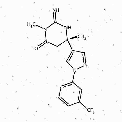 CN1C(=N)N[C@](C)(c2cnn(-c3cccc(C(F)(F)F)c3)c2)CC1=O